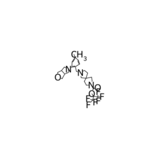 Cc1ccc(CN2CCC3(CCN(C(=O)OC(C(F)(F)F)C(F)(F)F)CC3)C2)c(N2CC3COCC3C2)c1